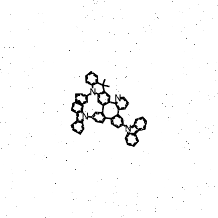 CC1(C)c2ccccc2N(c2ccccc2)c2cc3c(cc21)-c1ncccc1-c1cc(-n2c4ccccc4c4ccccc42)ccc1-c1ccc(-n2c4ccccc4c4ccccc42)cc1-3